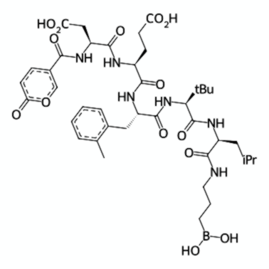 Cc1ccccc1C[C@H](NC(=O)[C@H](CCC(=O)O)NC(=O)[C@H](CC(=O)O)NC(=O)c1ccc(=O)oc1)C(=O)N[C@H](C(=O)N[C@@H](CC(C)C)C(=O)NCCCB(O)O)C(C)(C)C